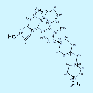 CC1Oc2cc(O)ccc2C(c2ccc(N3CCC(CN4CCN(C)CC4)CC3)c(F)c2)C1c1ccccc1